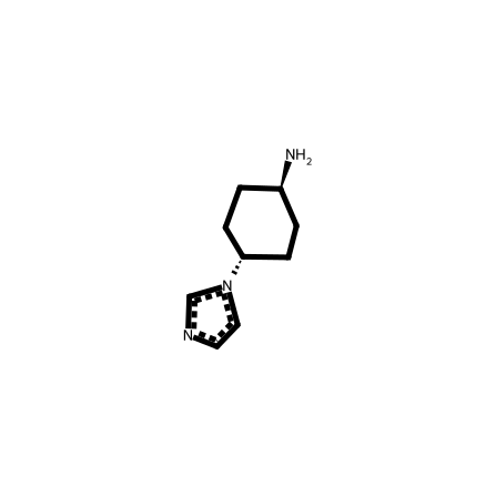 N[C@H]1CC[C@H](n2ccnc2)CC1